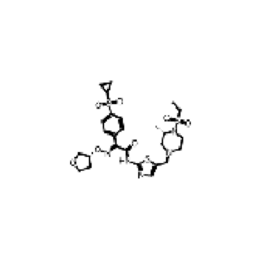 CCS(=O)(=O)N1CCN(Cc2cnc(NC(=O)/C(=N/O[C@@H]3CCOC3)c3ccc(S(=O)(=O)C4CC4)cc3)s2)C[C@@H]1C